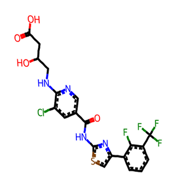 O=C(O)CC(O)CNc1ncc(C(=O)Nc2nc(-c3cccc(C(F)(F)F)c3F)cs2)cc1Cl